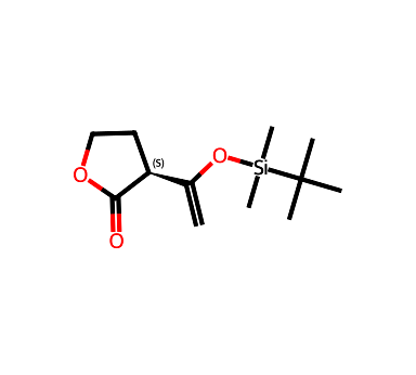 C=C(O[Si](C)(C)C(C)(C)C)[C@@H]1CCOC1=O